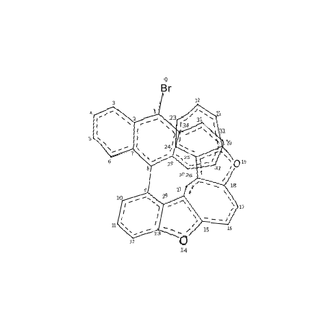 Brc1c2ccccc2c(-c2cccc3oc4ccc5oc6ccccc6c5c4c23)c2ccccc12